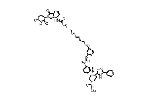 C[C@@H](NC(=O)c1cccc(NC2(c3nnc(-c4ccncc4)[nH]3)CCN(C(=O)OC(C)(C)C)CC2)c1)c1cccc(OCCCCCCOCCOCC(=O)Nc2cccc3c2CN(C2CCC(=O)NC2=O)C3=O)c1